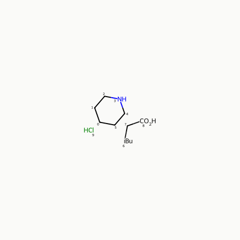 C1CCNCC1.CCC(C)CC(=O)O.Cl